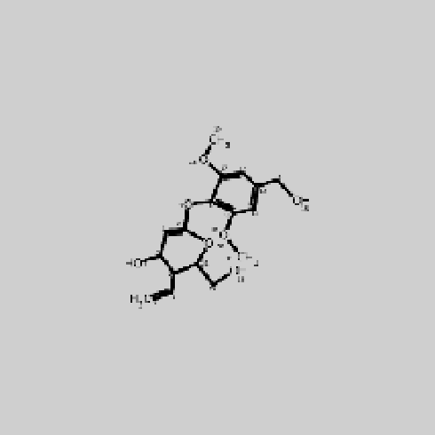 C=CC1C(O)C=C(Oc2c(OC)cc(CO)cc2OC)OC1CO